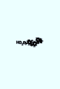 O=C(O)CCc1cccc(Oc2ccc(Oc3cccn4ccnc34)cc2C(F)(F)F)c1